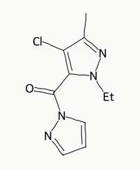 CCn1nc(C)c(Cl)c1C(=O)n1cccn1